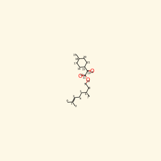 CC(C)=CCC[C@H](C)CCOC(=O)C(=O)C1CCC(C)CC1